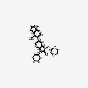 O=c1n(C[C@H]2COCCO2)c2cc(-c3cnc4[nH]ccc4c3Cl)cnc2n1C1=CCCCC1